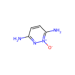 Nc1ccc(N)[n+]([O-])n1